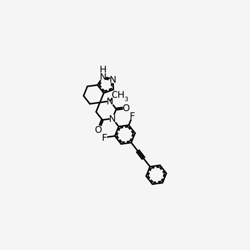 CN1C(=O)N(c2c(F)cc(C#Cc3ccccc3)cc2F)C(=O)CC12CCCc1[nH]ncc12